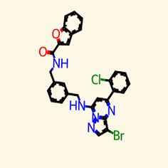 O=C(NCc1cccc(CNc2cc(-c3ccccc3Cl)nc3c(Br)cnn23)c1)c1cc2ccccc2o1